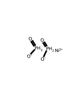 O=[PH2][O-].O=[PH2][O-].[Ni+2]